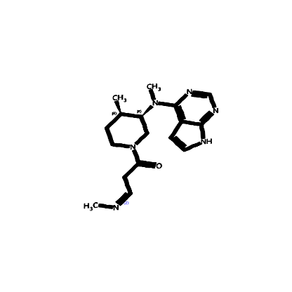 C/N=C\CC(=O)N1CC[C@@H](C)[C@@H](N(C)c2ncnc3[nH]ccc23)C1